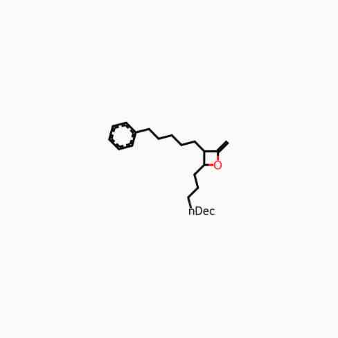 C=C1OC(CCCCCCCCCCCCC)C1CCCCCc1ccccc1